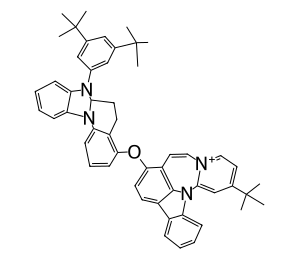 CC(C)(C)c1cc(N2c3ccccc3N3c4cccc(Oc5ccc6c7ccccc7n7c6c5C=C[n+]5ccc(C(C)(C)C)cc5-7)c4CCC23)cc(C(C)(C)C)c1